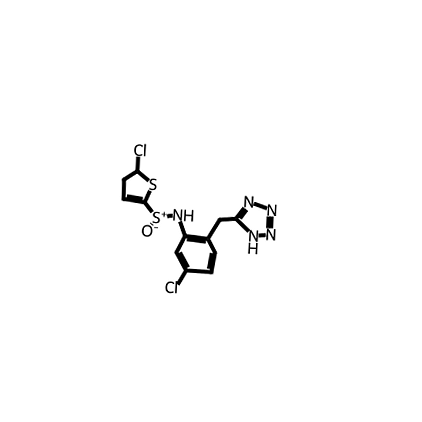 [O-][S+](Nc1cc(Cl)ccc1Cc1nnn[nH]1)C1=CCC(Cl)S1